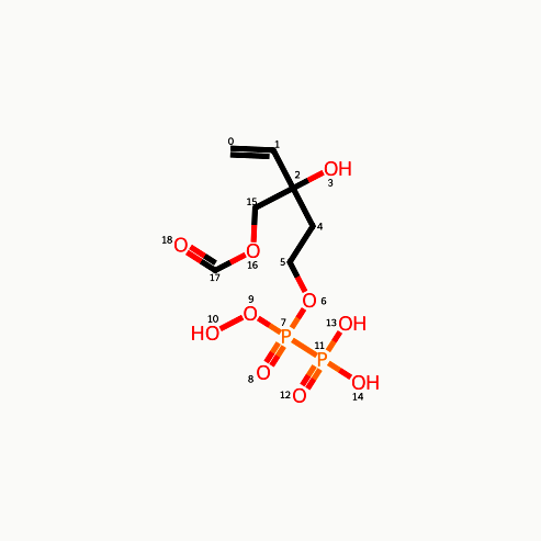 C=CC(O)(CCOP(=O)(OO)P(=O)(O)O)COC=O